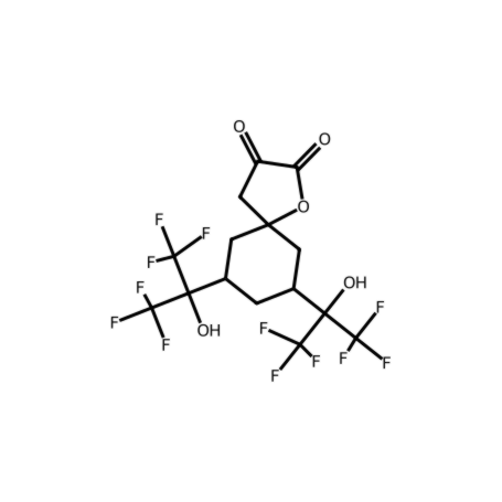 O=C1CC2(CC(C(O)(C(F)(F)F)C(F)(F)F)CC(C(O)(C(F)(F)F)C(F)(F)F)C2)OC1=O